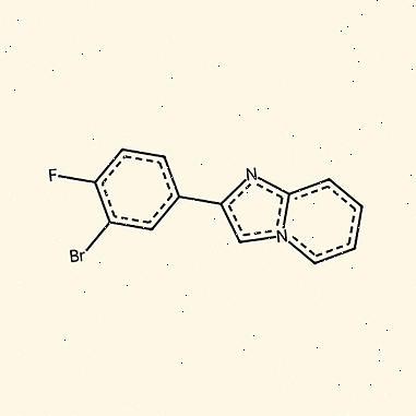 Fc1ccc(-c2cn3ccccc3n2)cc1Br